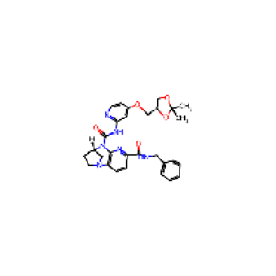 CC1(C)OC[C@H](COc2ccnc(NC(=O)N3c4nc(C(=O)NCc5ccccc5)ccc4N4CC[C@H]3C4)c2)O1